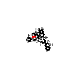 O=CNCCC(CCNC(Cc1cc(Br)c(O)c(Br)c1)C(=O)NC(CC1CCNCC1)C(=O)N1CCN(c2ccncc2)CC1)c1cc2ccccc2[nH]c1=O